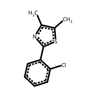 Cc1nc(-c2ccccc2Cl)sc1C